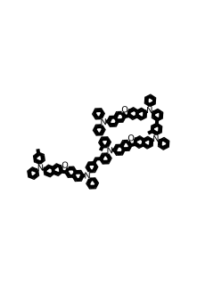 Cc1ccc(N(c2ccccc2)c2ccc3cc4c(cc3c2)oc2cc3cc(N(c5ccccc5)c5ccc(Cc6cccc(N(c7ccc8cc9c(cc8c7)oc7cc8cc(N(c%10ccccc%10)c%10ccc(-c%11cccc(N(c%12ccccc%12)c%12ccc%13cc%14c(cc%13c%12)oc%12cc%13cc(N(c%15ccccc%15)c%15ccccc%15)ccc%13cc%12%14)c%11)cc%10C)ccc8cc79)c7ccccc7C)c6)cc5)ccc3cc24)cc1